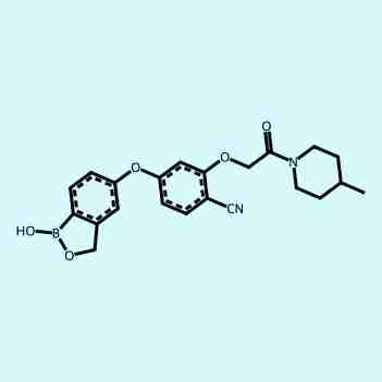 CC1CCN(C(=O)COc2cc(Oc3ccc4c(c3)COB4O)ccc2C#N)CC1